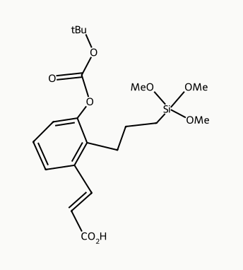 CO[Si](CCCc1c(/C=C/C(=O)O)cccc1OC(=O)OC(C)(C)C)(OC)OC